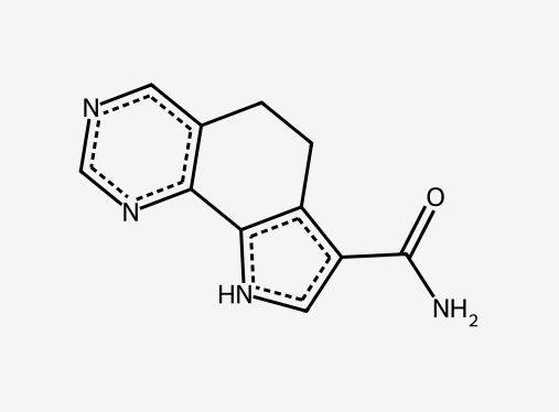 NC(=O)c1c[nH]c2c1CCc1cncnc1-2